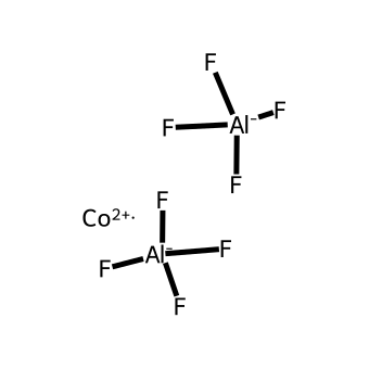 [Co+2].[F][Al-]([F])([F])[F].[F][Al-]([F])([F])[F]